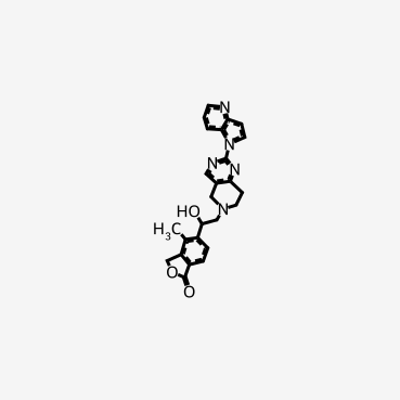 Cc1c(C(O)CN2CCc3nc(-n4ccc5ncccc54)ncc3C2)ccc2c1COC2=O